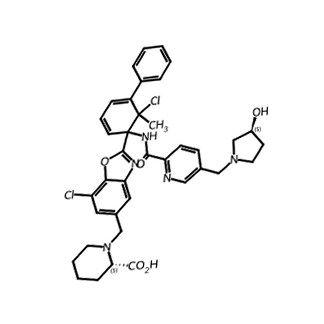 CC1(Cl)C(c2ccccc2)=CC=CC1(NC(=O)c1ccc(CN2CC[C@H](O)C2)cn1)c1nc2cc(CN3CCCC[C@H]3C(=O)O)cc(Cl)c2o1